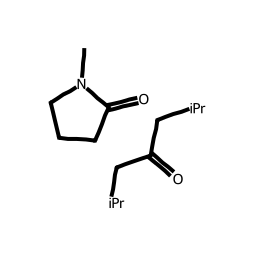 CC(C)CC(=O)CC(C)C.CN1CCCC1=O